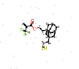 C=C(C(=O)OCCC12CC3CC(CC(CCS)(C3)C1)C2)C(F)(F)F